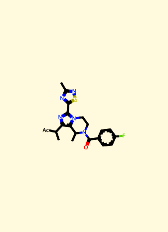 CC(=O)C(C)c1nc(-c2nc(C)ns2)n2c1C(C)N(C(=O)c1ccc(F)cc1)CC2